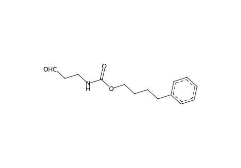 O=CCCNC(=O)OCCCCc1ccccc1